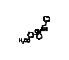 COc1cccc(C2(O)CCCCC2CNCCc2ccccc2)c1